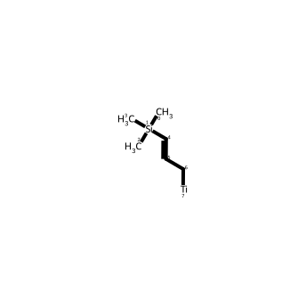 C[Si](C)(C)C=C[CH2][Ti]